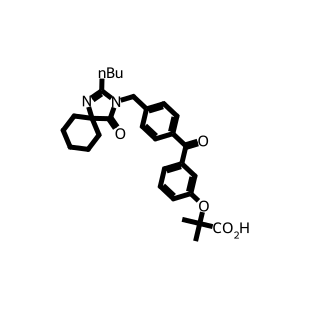 CCCCC1=NC2(CCCCC2)C(=O)N1Cc1ccc(C(=O)c2cccc(OC(C)(C)C(=O)O)c2)cc1